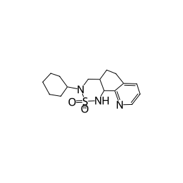 O=S1(=O)NC2c3ncccc3CCC2CN1C1CCCCC1